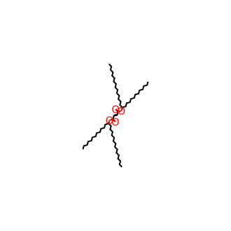 CCCCCCCCCCCCCCCC(CCCCCCCCCCCC)OC(=O)/C=C/C(=O)OC(CCCCCCCCCCCC)CCCCCCCCCCCCCCC